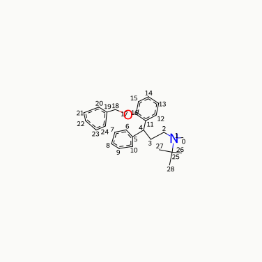 CN(CCC(c1ccccc1)c1ccccc1OCc1ccccc1)C(C)(C)C